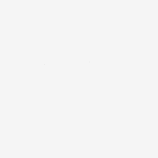 [CH2]CCc1ccc(C(C)C)cc1